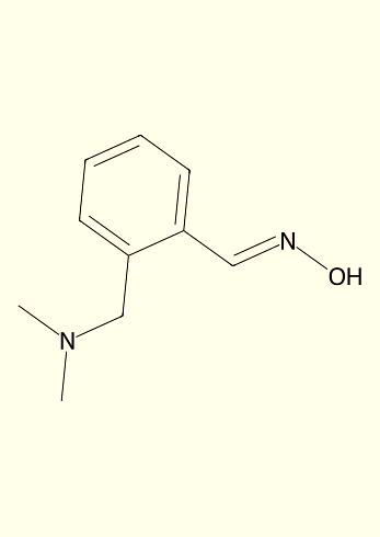 CN(C)Cc1ccccc1C=NO